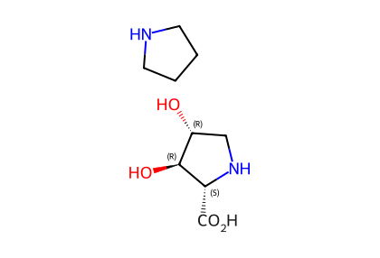 C1CCNC1.O=C(O)[C@H]1NC[C@@H](O)[C@@H]1O